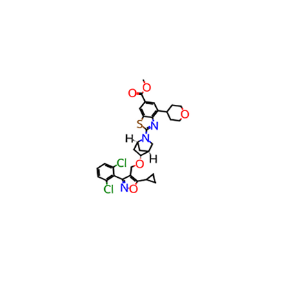 COC(=O)c1cc(C2CCOCC2)c2nc(N3C[C@@H]4C[C@H]3C[C@H]4OCc3c(-c4c(Cl)cccc4Cl)noc3C3CC3)sc2c1